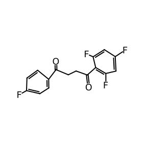 O=C(CCC(=O)c1c(F)cc(F)cc1F)c1ccc(F)cc1